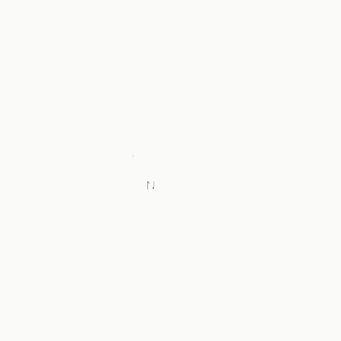 CCC[N]C(C)(C)C